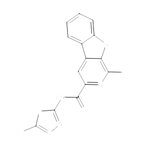 CCc1nnc(NC(=O)c2cc3c([nH]c4ccccc43)c(C)n2)s1